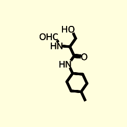 CC1CCC(NC(=O)C(CO)NC=O)CC1